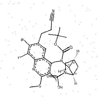 CSc1nc2c(F)c(Br)c(CCC#N)cc2c(N(C(=O)OC(C)(C)C)[C@H]2[C@@H]3C[C@H]2N(C(=O)O)C3)c1I